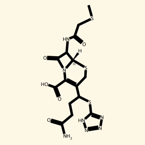 CSCC(=O)NC1C(=O)N2C(C(=O)O)=C(C(CCC(N)=O)Sc3nnn[nH]3)CS[C@@H]12